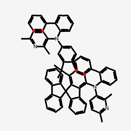 Cc1ccc(N(c2ccc3c(c2)C(C)(C)c2c-3cc(N(c3ccccc3-c3ccccc3)c3ccc(C)nc3C)c3c2C2(c4ccccc4-c4ccccc42)c2ccccc2-3)c2ccccc2-c2ccccc2)c(C)n1